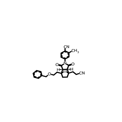 Cc1cc(N2C(=O)[C@@H]3[C@H](C2=O)C2(CCC#N)CCC3(CCOCc3ccccc3)O2)ccc1C#N